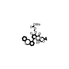 COC(=O)OCOc1c2n(c(-c3cccc4c3Cc3ccccc3SC4)cc1=O)N[C@@H]1COC3(CC3)CN1C2=O